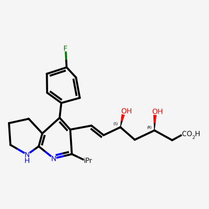 CC(C)c1nc2c(c(-c3ccc(F)cc3)c1C=C[C@@H](O)C[C@@H](O)CC(=O)O)CCCN2